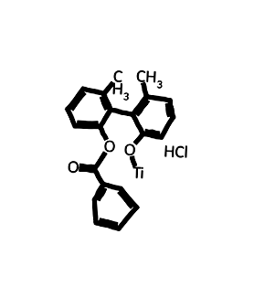 Cc1cccc([O][Ti])c1-c1c(C)cccc1OC(=O)c1ccccc1.Cl